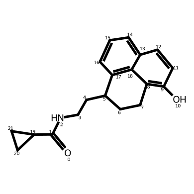 O=C(NCCC1CCc2c(O)ccc3cccc1c23)C1CC1